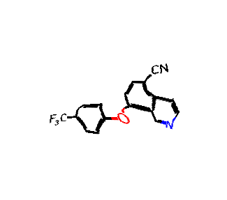 N#Cc1ccc(Oc2ccc(C(F)(F)F)cc2)c2cnccc12